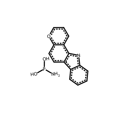 NP(O)O.c1ccc2c(c1)nc1c3cccoc3ccc21